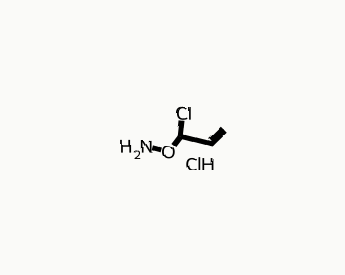 C=CC(Cl)ON.Cl